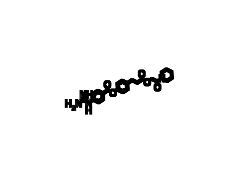 N=C(N)Nc1ccc(C(=O)Oc2ccc(CCC(=O)OCC(=O)N3CCCCC3)cc2)cc1